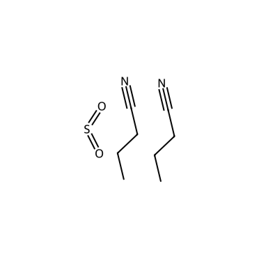 CCCC#N.CCCC#N.O=S=O